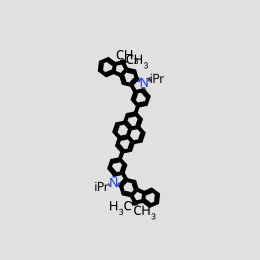 CC(C)n1c2ccc(-c3cc4ccc5cc(-c6ccc7c(c6)c6cc8c(cc6n7C(C)C)C(C)(C)c6ccccc6-8)cc6ccc(c3)c4c56)cc2c2cc3c(cc21)C(C)(C)c1ccccc1-3